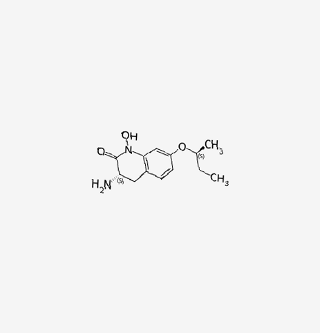 CC[C@H](C)Oc1ccc2c(c1)N(O)C(=O)[C@@H](N)C2